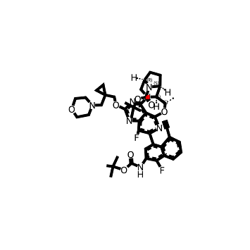 C#Cc1cccc2c(F)c(NC(=O)OC(C)(C)C)cc(-c3nc4c5c(nc(OCC6(CN7CCOCC7)CC6)nc5c3F)N3C[C@H]5CC[C@@H]([C@H]3[C@H](C)O4)N5C(=O)OC(C)(C)C)c12